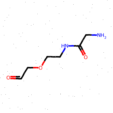 NCC(=O)NCCOCC=O